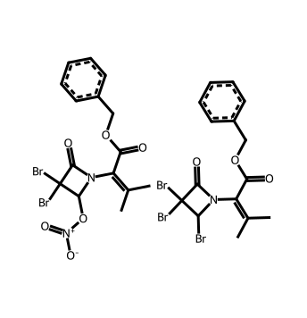 CC(C)=C(C(=O)OCc1ccccc1)N1C(=O)C(Br)(Br)C1Br.CC(C)=C(C(=O)OCc1ccccc1)N1C(=O)C(Br)(Br)C1O[N+](=O)[O-]